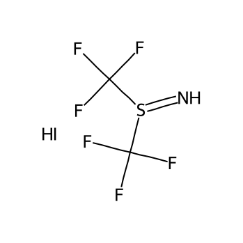 I.N=S(C(F)(F)F)C(F)(F)F